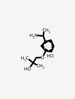 CC(N)c1cccc(OCC(C)(C)O)c1.Cl